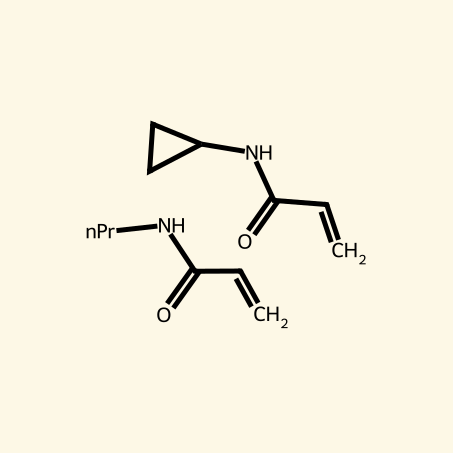 C=CC(=O)NC1CC1.C=CC(=O)NCCC